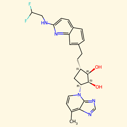 Cc1ccn([C@@H]2C[C@H](CCc3ccc4ccc(NCC(F)F)nc4c3)[C@@H](O)[C@H]2O)c2ncnc1-2